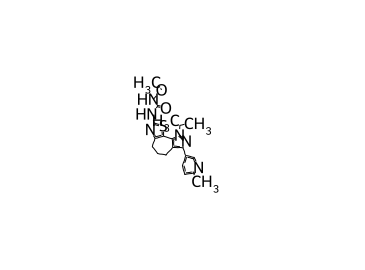 CONC(=O)Nc1nc2c(s1)-c1c(c(-c3ccc(C)nc3)nn1C(C)C)CCC2